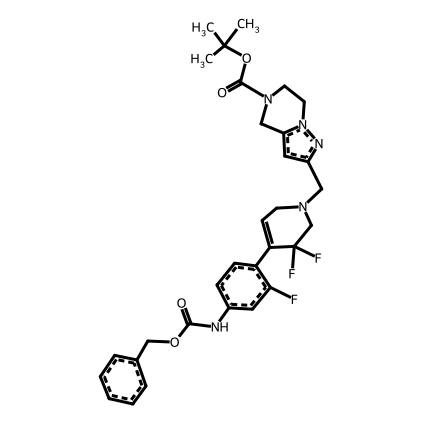 CC(C)(C)OC(=O)N1CCn2nc(CN3CC=C(c4ccc(NC(=O)OCc5ccccc5)cc4F)C(F)(F)C3)cc2C1